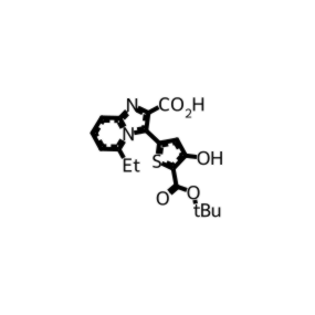 CCc1cccc2nc(C(=O)O)c(-c3cc(O)c(C(=O)OC(C)(C)C)s3)n12